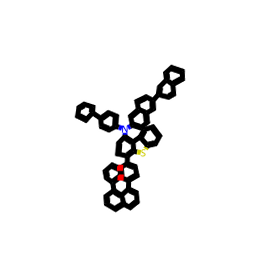 c1ccc(-c2ccc(N(c3ccc4cc(-c5ccc6ccccc6c5)ccc4c3)c3ccc(-c4ccc(-c5cccc6cccc(-c7ccccc7)c56)cc4)c4sc5ccccc5c34)cc2)cc1